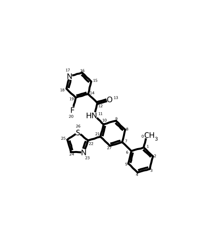 Cc1ccccc1-c1ccc(NC(=O)c2ccncc2F)c(-c2nccs2)c1